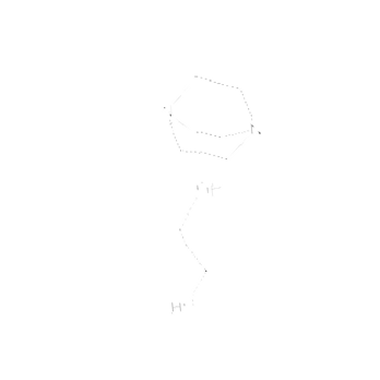 C1CN2CCN1CC2.OCCO